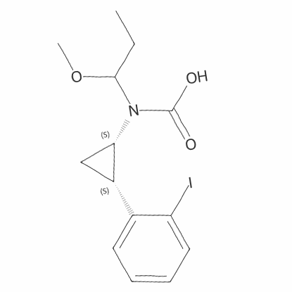 CCC(OC)N(C(=O)O)[C@H]1C[C@H]1c1ccccc1I